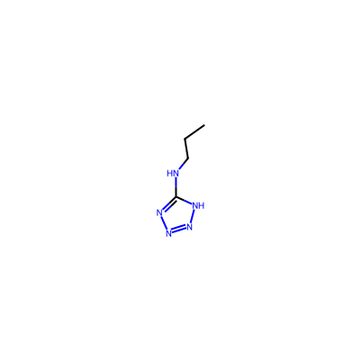 CCCNc1nnn[nH]1